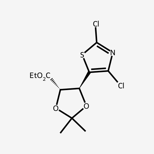 CCOC(=O)[C@H]1OC(C)(C)O[C@@H]1c1sc(Cl)nc1Cl